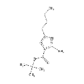 CCCCc1cn(C(=O)OC(C)(C)C)c(N)n1